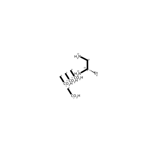 CC(=O)O.CC(=O)O.CC(=O)O.CC(=O)O.CC[C@H](N)CN